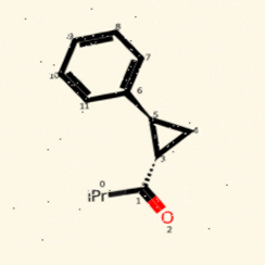 CC(C)C(=O)[C@H]1C[C@@H]1c1ccccc1